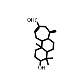 C=C1CC(C=O)=CCC2C1CCC1C(C)(C)C(O)CCC21C